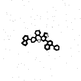 C1=CC(c2ccc(C3=CC4OC5=C(CC(c6cccc7ccccc67)CC5)C5=C(C=CCC5)C4c4ccsc43)c3ccccc23)=CCC1